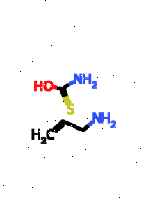 C=CCN.NC(O)=S